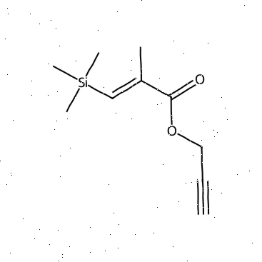 C#CCOC(=O)C(C)=C[Si](C)(C)C